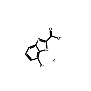 O=C([O-])c1nc2cccc(Br)c2o1.[K+]